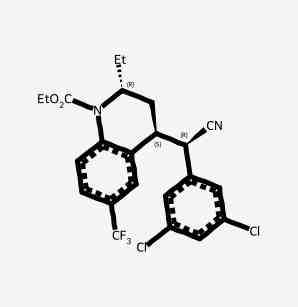 CCOC(=O)N1c2ccc(C(F)(F)F)cc2[C@H]([C@@H](C#N)c2cc(Cl)cc(Cl)c2)C[C@H]1CC